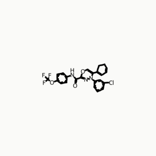 O=C(Nc1ccc(OC(F)(F)F)cc1)C1=NN(c2cccc(Cl)c2)C(C2=CC=CCC2)=CO1